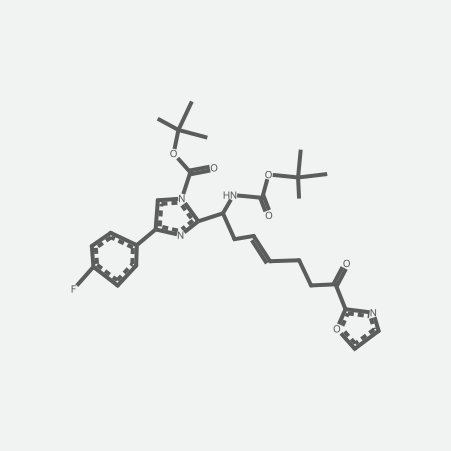 CC(C)(C)OC(=O)NC(C/C=C/CCC(=O)c1ncco1)c1nc(-c2ccc(F)cc2)cn1C(=O)OC(C)(C)C